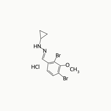 COc1c(Br)ccc(/C=N/NC2CC2)c1Br.Cl